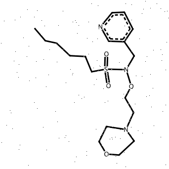 CCCCCCS(=O)(=O)N(Cc1cccnc1)OCCN1CCOCC1